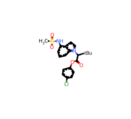 CC(C)(C)C(C(=O)Oc1ccc(Cl)cc1)n1ccc2c(NS(C)(=O)=O)cccc21